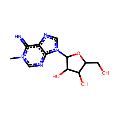 Cn1cnc2c(ncn2C2OC(CO)C(O)C2O)c1=N